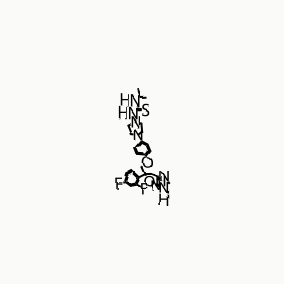 CC(C)NC(=S)NN1CCN(c2ccc(OCC(O)(Cc3nc[nH]n3)c3ccc(F)cc3F)cc2)CC1